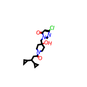 O=C(CC(C1CC1)C1CC1)N1CCC(O)(Cn2cnc(Cl)cc2=O)CC1